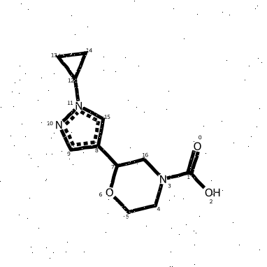 O=C(O)N1CCOC(c2cnn(C3CC3)c2)C1